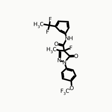 CC1=NN(c2ccc(OC(F)(F)F)cc2)C(=O)C1(F)C(=O)Nc1cccc(C(C)(F)F)c1